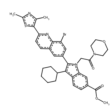 COC(=O)c1ccc2c(C3CCCCC3)c(-c3cc(Br)c4nc(-c5sc(C)nc5C)ccc4c3)n(CC(=O)N3CCOCC3)c2c1